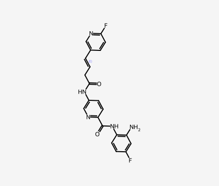 Nc1cc(F)ccc1NC(=O)c1ccc(NC(=O)C/C=C/c2ccc(F)nc2)cn1